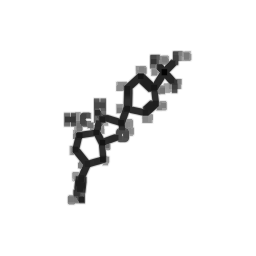 C[C@@]12CCC(C#N)CC1OC(c1ccc(C(F)(F)F)cc1)N2